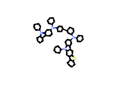 c1ccc(N(c2cccc(-c3ccc(N(c4ccccc4)c4ccc5c6ccccc6n(-c6ccccc6)c5c4)cc3)c2)c2ccc3c(c2)c2cc4sc5ccccc5c4cc2n3-c2ccccc2)cc1